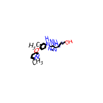 Cc1ccc(Oc2ccc(Nc3ncnc(C#C/C=C/CO)c3N)cc2C)cn1